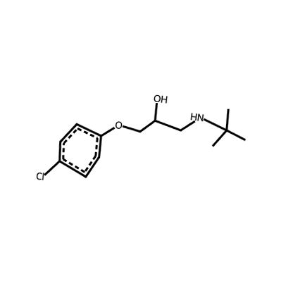 CC(C)(C)NCC(O)COc1ccc(Cl)cc1